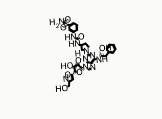 NS(=O)(=O)c1cccc(NC(=O)NC2CCN(c3nc(N[C@H](CO)Cc4ccccc4)c4ncn([C@@H]5O[C@H](c6cc(CO)no6)[C@@H](O)[C@H]5O)c4n3)C2)c1